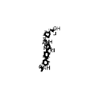 CC(=O)NC1CC=C(c2ccc(-c3nc4nc(O[C@H]5CC[C@H](CC(=O)O)CC5)[nH]c4cc3Cl)cc2)CC1